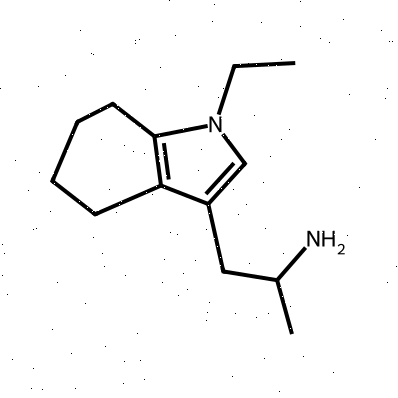 CCn1cc(CC(C)N)c2c1CCCC2